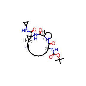 CC(C)(C)OC(=O)N[C@H]1CCCCC/C=C\[C@@H]2C[C@@]2(C(=O)NC2CC2)NC(=O)[C@@H]2CCCN2C1=O